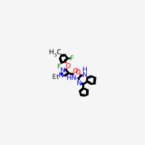 CCn1cc(C(=O)N[C@H]2N=C(c3ccccc3)c3ccccc3NC2=O)c(Oc2c(F)cc(C)cc2F)n1